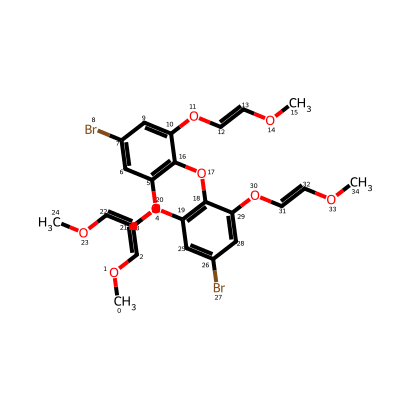 CO/C=C/Oc1cc(Br)cc(O/C=C/OC)c1Oc1c(O/C=C/OC)cc(Br)cc1O/C=C/OC